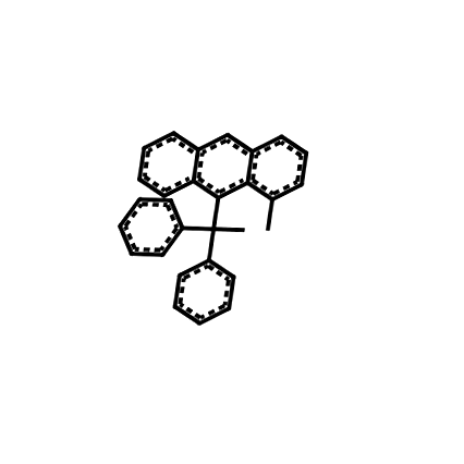 Cc1cccc2cc3ccccc3c(C(C)(c3ccccc3)c3ccccc3)c12